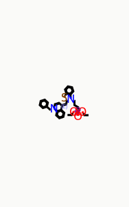 CCOP(=O)(CCCN1c2ccccc2SC1/C=C1\C=CN(Cc2ccccc2)c2ccccc21)OCC